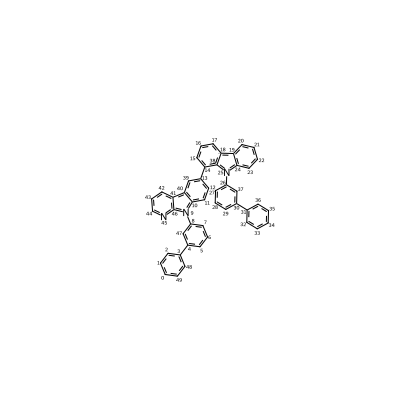 c1ccc(-c2cccc(-n3c4ccc(-c5cccc6c7ccccc7n(-c7cccc(-c8ccccc8)c7)c56)cc4c4cccnc43)c2)cc1